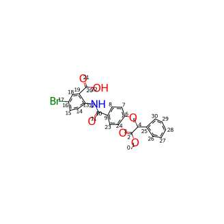 COC(=O)C(Oc1ccc(C(=O)Nc2ccc(Br)cc2C(=O)O)cc1)c1ccccc1